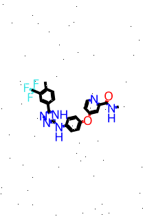 CNC(=O)c1cc(Oc2ccc(Nc3nnc(-c4ccc(C)c(C(F)(F)F)c4)[nH]3)cc2)ccn1